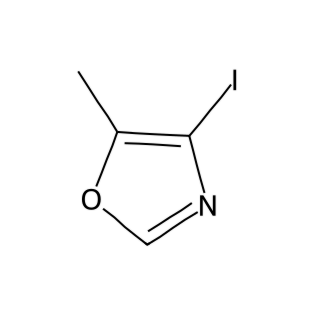 Cc1ocnc1I